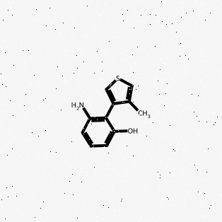 Cc1cscc1-c1c(N)cccc1O